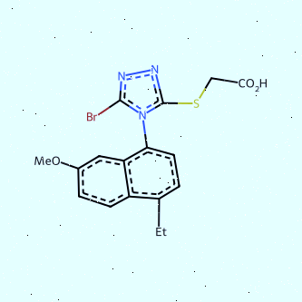 CCc1ccc(-n2c(Br)nnc2SCC(=O)O)c2cc(OC)ccc12